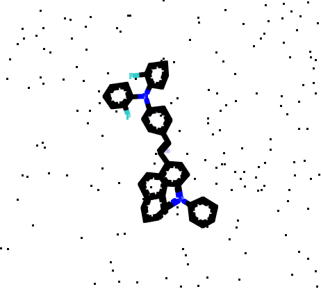 Fc1ccccc1N(c1ccc(/C=C/c2ccc3c4c2ccc2cccc(c24)n3-c2ccccc2)cc1)c1ccccc1F